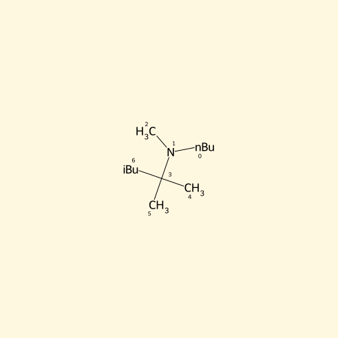 CCCCN(C)C(C)(C)C(C)CC